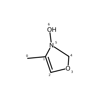 CC1=COCN1O